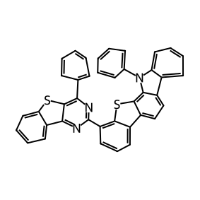 c1ccc(-c2nc(-c3cccc4c3sc3c4ccc4c5ccccc5n(-c5ccccc5)c43)nc3c2sc2ccccc23)cc1